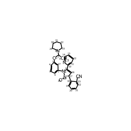 CC(Oc1cccc(-n2c(-c3ccccn3)cc(-c3ccccc3C#N)[n+]2[O-])c1)N1CCCCC1